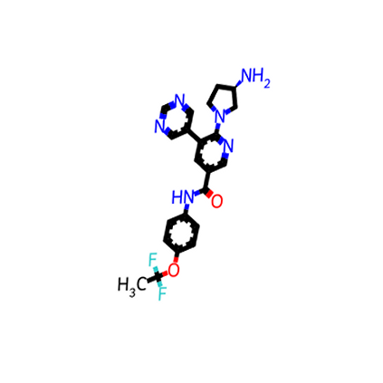 CC(F)(F)Oc1ccc(NC(=O)c2cnc(N3CC[C@@H](N)C3)c(-c3cncnc3)c2)cc1